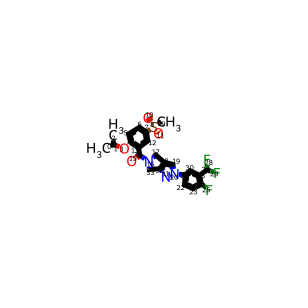 CC(C)Oc1ccc(S(C)(=O)=O)cc1C(=O)N1Cc2cn(-c3ccc(F)c(C(F)F)c3)nc2C1